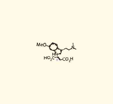 COc1ccc2c(CCN(C)C)c[nH]c2c1.O=C(O)/C=C/C(=O)O